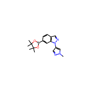 Cn1cc(-n2ncc3ccc(B4OC(C)(C)C(C)(C)O4)cc32)cn1